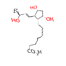 CC[C@H](O)/C=C/[C@@H]1[C@@H](C/C=C\CCCC(=O)O)[C@@H](O)C[C@H]1O